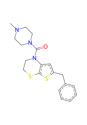 CN1CCN(C(=O)N2CCSc3sc(Cc4ccccc4)cc32)CC1